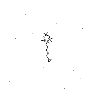 CC1(C)C[Si](C)(C)[Si](C)(CCCOCC2CO2)[Si](C)(C)O1